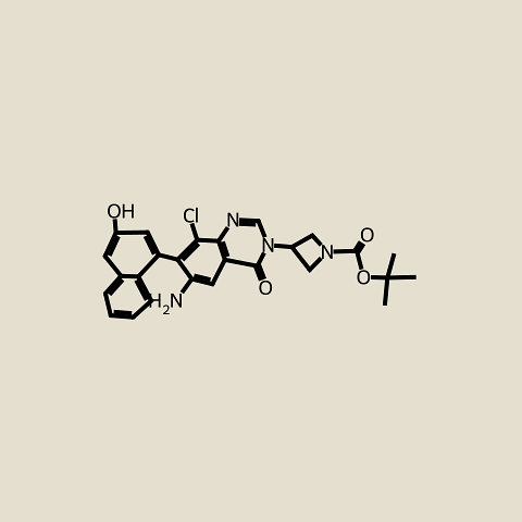 CC(C)(C)OC(=O)N1CC(n2cnc3c(Cl)c(-c4cc(O)cc5ccccc45)c(N)cc3c2=O)C1